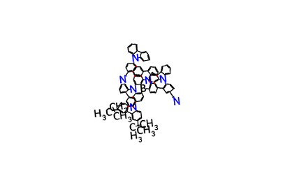 CC(C)(C)c1ccc2c(c1)c1cc(C(C)(C)C)ccc1n2-c1ccc2c(c1)N(c1ccccc1-c1ccccc1)c1cc(-c3cc(-n4c5ccccc5c5ccccc54)ccc3C#N)cc3c1B2c1ccc(-c2cc(C#N)ccc2-n2c4ccccc4c4ccccc42)cc1N3c1ccccc1-c1ccccc1